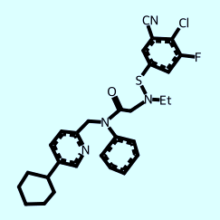 CCN(CC(=O)N(Cc1ccc(C2CCCCC2)cn1)c1ccccc1)Sc1cc(F)c(Cl)c(C#N)c1